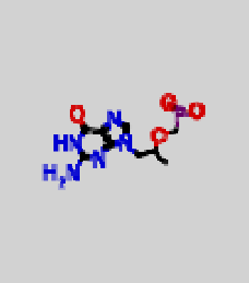 CC(Cn1cnc2c(=O)[nH]c(N)nc21)OCP(=O)=O